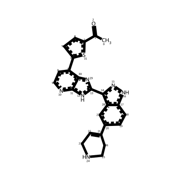 CC(=O)c1ccc(-c2ccnc3[nH]c(-c4n[nH]c5ccc(C6=CCNCC6)cc45)nc23)s1